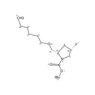 CC(C)(C)OC(=O)N1C[C@@H](F)C[C@H]1COCCCCCC=O